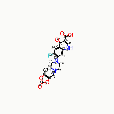 Cc1oc(=O)oc1CN1CCN(c2cc3[nH]cc(C(=O)O)c(=O)c3cc2F)CC1